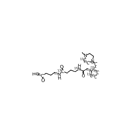 CN1CCN([13CH2][13CH]2[13CH2][13CH2][13CH2][15N]2CC(=O)[15NH]CCC[13C](=O)[15NH]CCC[13C](=O)O)[13CH2][13CH2]1